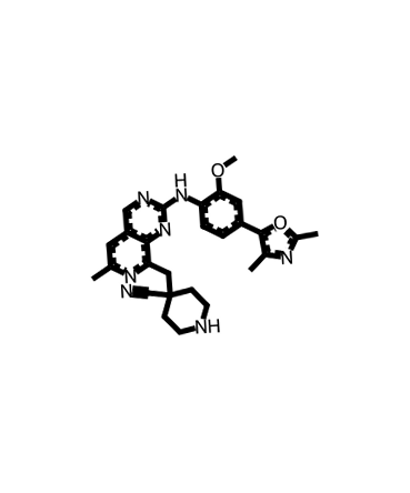 COc1cc(-c2oc(C)nc2C)ccc1Nc1ncc2cc(C)nc(CC3(C#N)CCNCC3)c2n1